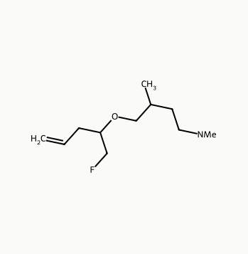 C=CCC(CF)OCC(C)CCNC